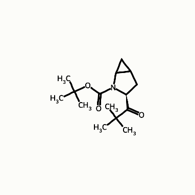 CC(C)(C)OC(=O)N1C2CC2C[C@H]1C(=O)C(C)(C)C